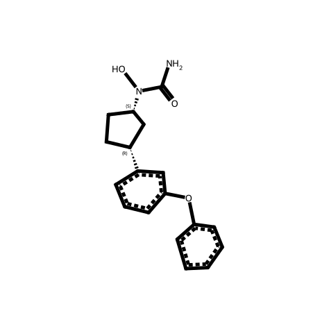 NC(=O)N(O)[C@H]1CC[C@@H](c2cccc(Oc3ccccc3)c2)C1